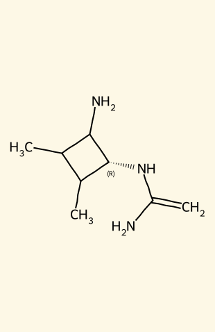 C=C(N)N[C@@H]1C(C)C(C)C1N